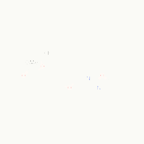 COC(=O)C(Cc1ccc(OCCN(C)c2nc3ccccc3o2)cc1)OCC(F)(F)F